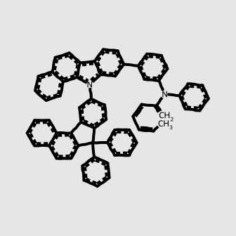 C=C(/C=C\C=C/C)N(c1ccccc1)c1cccc(-c2ccc3c4ccc5ccccc5c4n(-c4ccc5c(c4)-c4c(ccc6ccccc46)C5(c4ccccc4)c4ccccc4)c3c2)c1